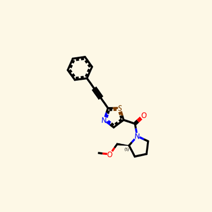 COC[C@@H]1CCCN1C(=O)c1cnc(C#Cc2ccccc2)s1